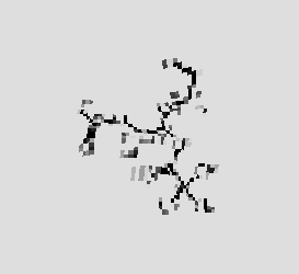 CC[C@H](C)O[C@@H](OC(=N)C(Cl)(Cl)Cl)[C@H](C)OC(C)=O